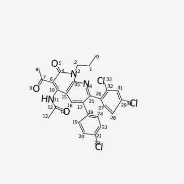 CCCn1c(=O)c(C(C)=O)c(NC(C)=O)c2cc(-c3ccc(Cl)cc3)c(-c3ccc(Cl)cc3Cl)nc21